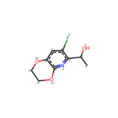 CC(O)c1nc2c(cc1F)OCCO2